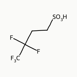 O=S(=O)(O)CCC(F)(F)C(F)(F)F